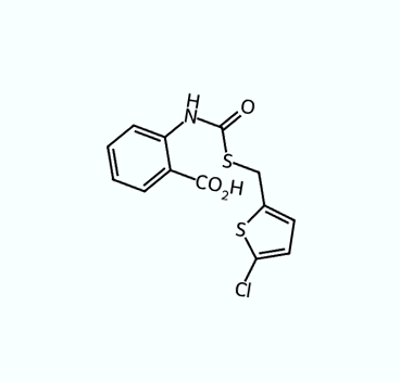 O=C(Nc1ccccc1C(=O)O)SCc1ccc(Cl)s1